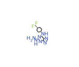 Cn1cnc2c(Nc3ccc(C(F)F)cc3)nc(NN)nc21